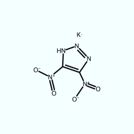 O=[N+]([O-])c1nn[nH]c1[N+](=O)[O-].[K]